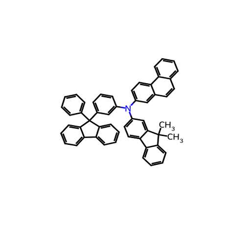 CC1(C)c2ccccc2-c2ccc(N(c3cccc(C4(c5ccccc5)c5ccccc5-c5ccccc54)c3)c3ccc4c(ccc5ccccc54)c3)cc21